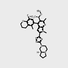 Cc1nc2c(cc(-c3nc(N4CCN5CCC[C@H]5C4)ns3)n2C)c(-c2cc(F)c3c(c2C)CCCO3)c1[C@H](OC(C)(C)C)C(=O)O